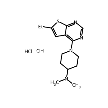 CCc1cc2c(N3CCC(N(C)C)CC3)ncnc2s1.Cl.Cl